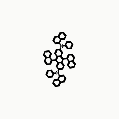 c1ccc(N(c2ccc3c(-c4cccc5ccccc45)c4cc(N(c5ccccc5)c5cccc6ccccc56)ccc4c(-c4cccc5ccccc45)c3c2)c2cccc3ccccc23)cc1